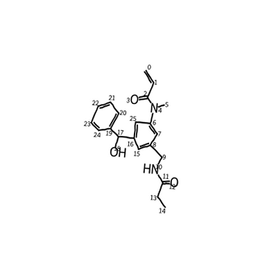 C=CC(=O)N(C)c1cc(CNC(=O)CC)cc(C(O)c2ccccc2)c1